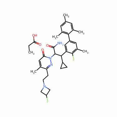 CCC(=O)O.Cc1cc(C)c(-c2cc(C)c(F)c(C(C3CC3)C(C(N)=O)n3nc(CCN4CC(F)C4)c(C)cc3=O)c2)c(C)c1